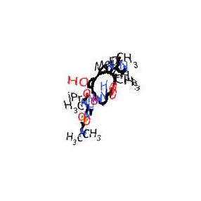 CCn1c(-c2cccnc2[C@H](C)OC)c2c3cc(ccc31)-c1cc(O)cc(c1)C[C@H](NC(=O)[C@H](C(C)C)N(C)CC1CCN(S(=O)(=O)/C=C/CN(C)C)C1)C(=O)N1CCC[C@H](N1)C(=O)OCC(C)(C)C2